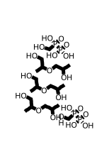 CC(O)COC(C)CO.CC(O)COC(C)CO.CC(O)COC(C)CO.O=P(O)(O)P(=O)(O)CO.O=P(O)(O)P(=O)(O)CO